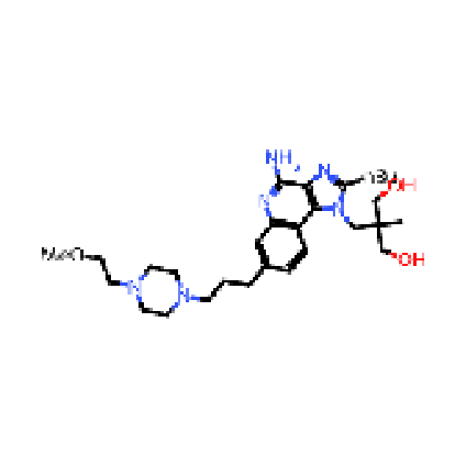 CCCCc1nc2c(N)nc3cc(CCCN4CCN(CCOC)CC4)ccc3c2n1CC(C)(CO)CO